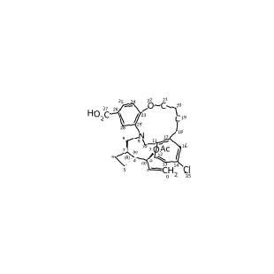 C=C[C@H](OC(C)=O)[C@@H]1CC[C@H]1CN1Cc2ccc(Cl)cc2CCCCOc2ccc(C(=O)O)cc21